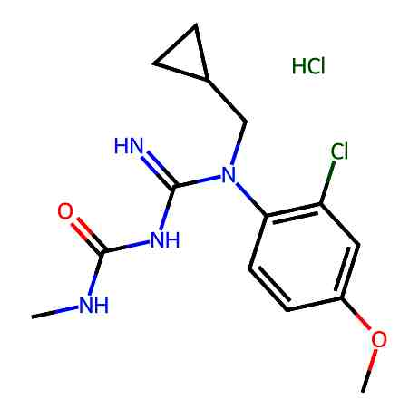 CNC(=O)NC(=N)N(CC1CC1)c1ccc(OC)cc1Cl.Cl